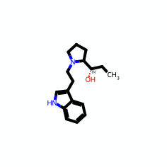 CC[C@H](O)C1CCCN1CCc1c[nH]c2ccccc12